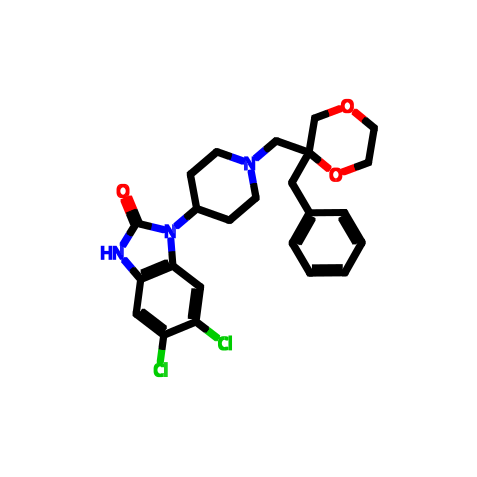 O=c1[nH]c2cc(Cl)c(Cl)cc2n1C1CCN(CC2(Cc3ccccc3)COCCO2)CC1